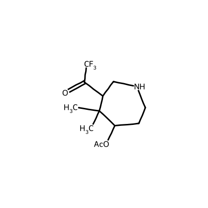 CC(=O)OC1CCNCC(C(=O)C(F)(F)F)C1(C)C